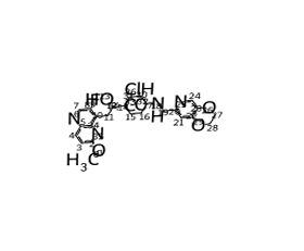 COc1ccc2ncc(F)c(C[C@@H](O)C34CCC(NCc5cc6c(cn5)OCCO6)(CC3)CC4)c2n1.Cl